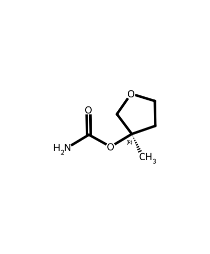 C[C@@]1(OC(N)=O)CCOC1